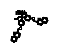 CCCC(C(=O)O)(c1ccc(OCc2ccc3ccccc3n2)cc1)c1ccc(OCc2ccc3ccccc3n2)cc1.[NaH]